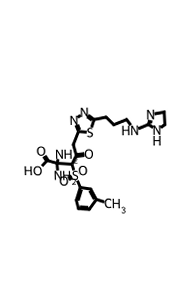 Cc1cccc(S(=O)(=O)C(C(=O)Cc2nnc(CCCNC3=NCCN3)s2)C(N)(N)C(=O)O)c1